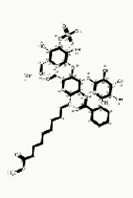 COC(=O)CCCCCCCCO[C@@H]1O[C@H](CO)[C@@H](O[C@@H]2O[C@H](CO)[C@H](O)[C@H](OS(=O)(=O)[O-])[C@H]2O)[C@H](O[C@@H]2O[C@@H](C)[C@@H](O)[C@@H](O)[C@@H]2O)[C@H]1NC(=O)C1CCCCC1.[Na+]